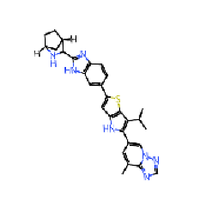 Cc1cc(-c2[nH]c3cc(-c4ccc5nc(C6N[C@@H]7CC[C@H]6C7)[nH]c5c4)sc3c2C(C)C)cn2ncnc12